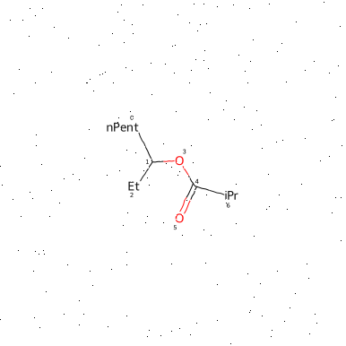 CCCCCC(CC)OC(=O)C(C)C